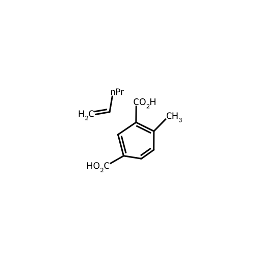 C=CCCC.Cc1ccc(C(=O)O)cc1C(=O)O